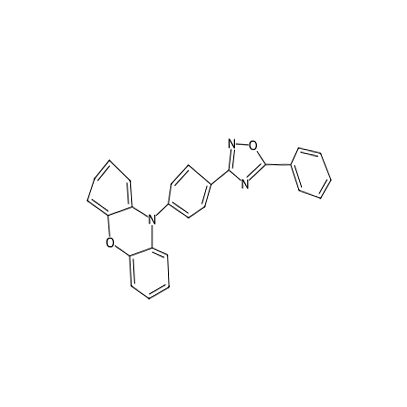 c1ccc(-c2nc(-c3ccc(N4c5ccccc5Oc5ccccc54)cc3)no2)cc1